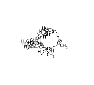 C=C1C[C@@H]2CCCC[C@@]34CC5O[C@H]6C(O3)[C@H]3OC(CC[C@@H]3O[C@H]6C5O4)CC(O)C[C@H]3[C@H](C[C@H]4O[C@@H](CCC1O2)C[C@@H](C)C4=C)OC(C[C@@H](CN)O[Si](C)(C)C(C)(C)C)[C@@H]3OC